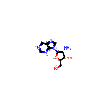 N[C@H]1C(n2cnc3cncnc32)O[C@H](CO)[C@H]1O